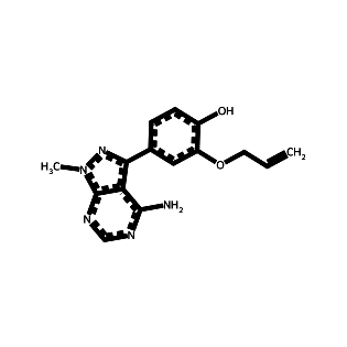 C=CCOc1cc(-c2nn(C)c3ncnc(N)c23)ccc1O